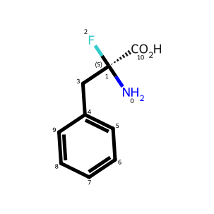 N[C@](F)(Cc1ccccc1)C(=O)O